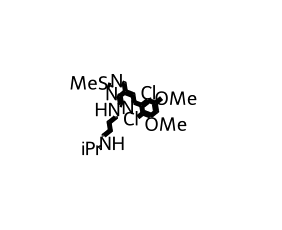 COc1cc(OC)c(Cl)c(-c2cc3cnc(SC)nc3c(NCCCCNC(C)C)n2)c1Cl